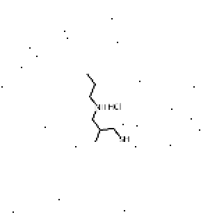 CCCNCC(C)CS.Cl